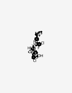 COC[C@H](NC(=O)[C@H](C)NCc1c(F)cc(Cl)cc1Oc1ccc(-c2cnc(CN(C)C)n2C)cc1)C(=O)N(C)C1(Cc2ccc(Cl)cc2)CCCN(C(=O)O)C1